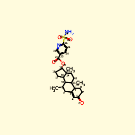 C[C@@H]1CC2=CC(=O)CC[C@]2(C)C2CC[C@@]3(C)C(CC[C@@H]3OC(=O)c3ccc(S(N)(=O)=O)nc3)C21